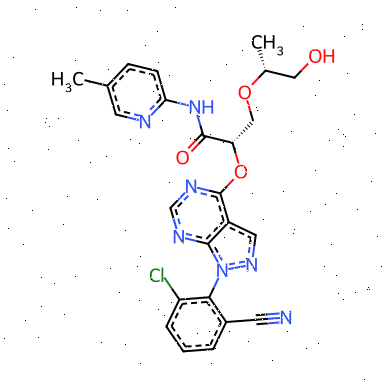 Cc1ccc(NC(=O)[C@H](CO[C@H](C)CO)Oc2ncnc3c2cnn3-c2c(Cl)cccc2C#N)nc1